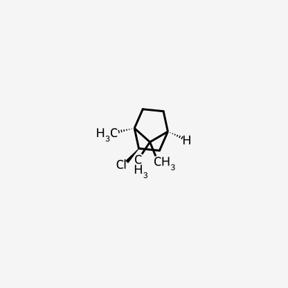 CC1(C)[C@H]2CC[C@]1(C)[C@H](Cl)C2